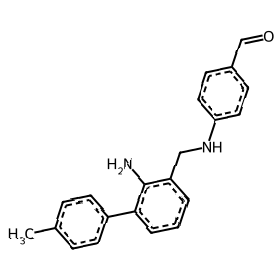 Cc1ccc(-c2cccc(CNc3ccc(C=O)cc3)c2N)cc1